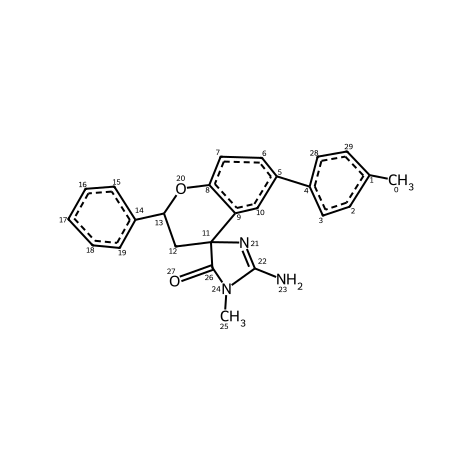 Cc1ccc(-c2ccc3c(c2)C2(CC(c4ccccc4)O3)N=C(N)N(C)C2=O)cc1